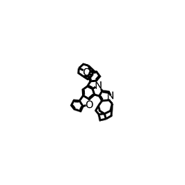 c1ccc2c(c1)oc1c2cc2c3c4c(ccc3n3c5cnc6c(c5c1c23)C1CC2CC3CC6CC32C1)C1CC2CC(C1)CC4C2